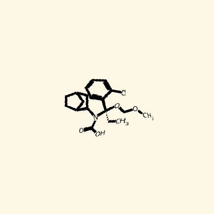 CC[C@@](OCOC)(c1ccccc1Cl)N(C(=O)O)C1CC2CCC1C2